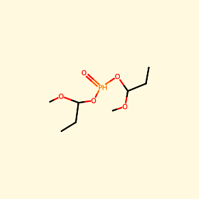 CCC(OC)O[PH](=O)OC(CC)OC